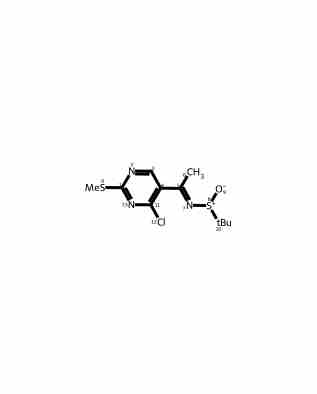 CSc1ncc(/C(C)=N/[S+]([O-])C(C)(C)C)c(Cl)n1